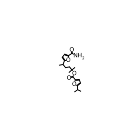 CC(C)c1ccc(C(=O)OC(C)(C)CCC(C)c2ccc(C(N)=O)o2)o1